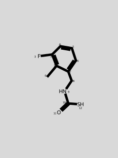 Cc1c(F)cccc1CNC(=O)S